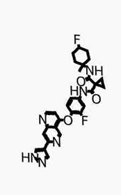 CC1(NC(=O)C2(C(=O)Nc3ccc(Oc4ccnc5cc(-c6cn[nH]c6)ncc45)c(F)c3)CC2)CCC(F)CC1